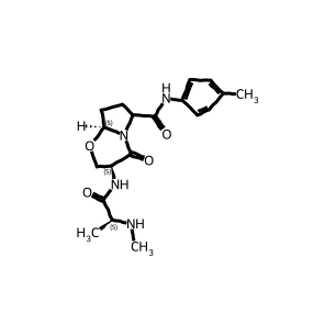 CN[C@@H](C)C(=O)N[C@H]1CO[C@H]2CCC(C(=O)Nc3ccc(C)cc3)N2C1=O